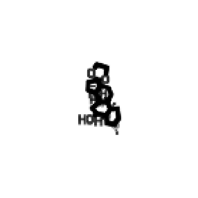 C[C@H]1CC[C@@]2(C)[C@H](C1)C(O)C[C@@H]1[C@@H]2CC[C@@]2(C)[C@H]1CCC21OCCO1